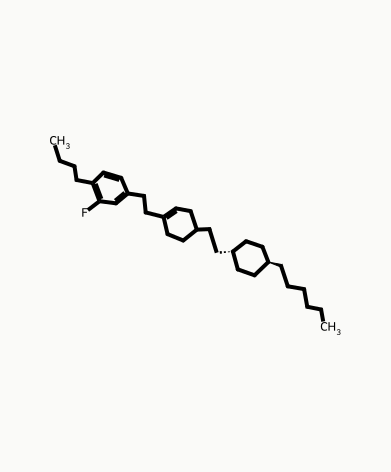 CCCCCC[C@H]1CC[C@H](CCC2CC=C(CCc3ccc(CCCC)c(F)c3)CC2)CC1